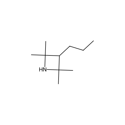 CCCC1C(C)(C)NC1(C)C